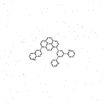 c1ccc(-c2cc(-c3ccccn3)cc(-c3ccc4ccc5ccc(-c6ccc7ncccc7c6)c6ccc3c4c56)c2)nc1